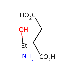 CCO.N.O=C(O)CCC(=O)O